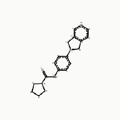 O=C(Nc1ccc(N2Cc3ccncc3C2)cc1)C1CCCC1